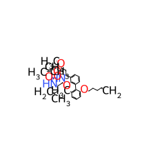 C=CCCCOc1cccc(C)c1-c1cccc([C@H](CC(=O)OC)NC(=O)[C@H](CC(=C)C)NC(=O)OC(C)(C)C)c1